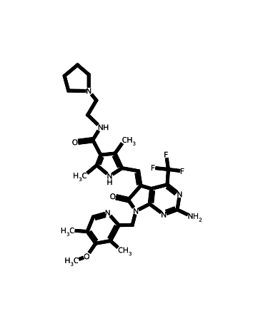 COc1c(C)cnc(CN2C(=O)/C(=C\c3[nH]c(C)c(C(=O)NCCN4CCCC4)c3C)c3c2nc(N)nc3C(F)(F)F)c1C